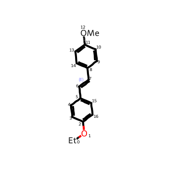 CCOc1ccc(/C=C/c2ccc(OC)cc2)cc1